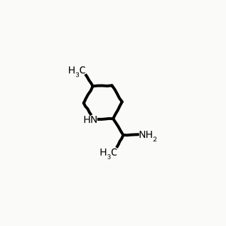 CC1CCC(C(C)N)NC1